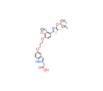 COc1cc(-c2nc(OC(C)C)cs2)ccc1OCCCOc1ccc2[nH]c(CC(=O)O)cc2c1